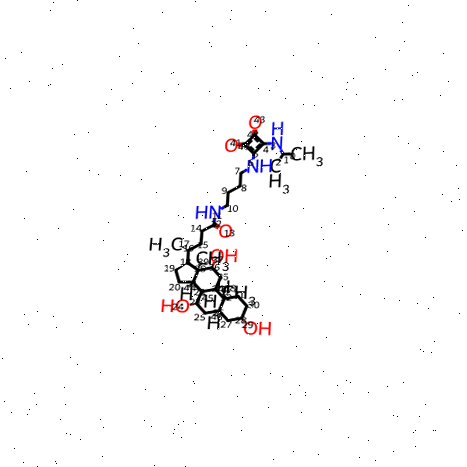 CC(C)Nc1c(NCCCCNC(=O)CC[C@@H](C)[C@@H]2CC[C@H]3[C@@H]4[C@H](O)C[C@@H]5C[C@H](O)CC[C@]5(C)[C@H]4C[C@H](O)[C@@]32C)c(=O)c1=O